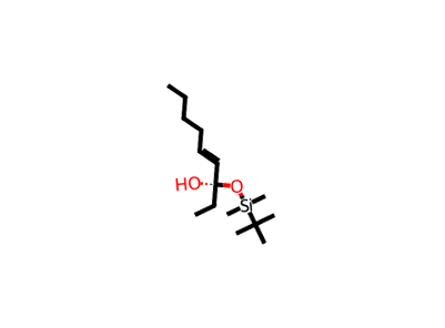 CCCCC=C[C@](O)(CC)O[Si](C)(C)C(C)(C)C